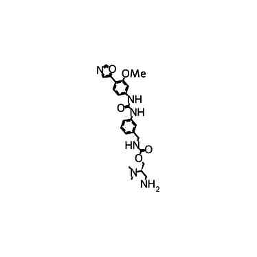 COc1cc(NC(=O)Nc2cccc(CNC(=O)OC[C@@H](CN)N(C)C)c2)ccc1-c1cnco1